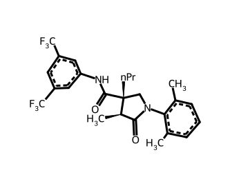 CCC[C@@]1(C(=O)Nc2cc(C(F)(F)F)cc(C(F)(F)F)c2)CN(c2c(C)cccc2C)C(=O)[C@H]1C